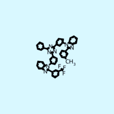 Cc1cccc(-c2nc3ccccc3n2-c2cccc(-c3nc(-c4ccccc4)nc(-c4cccc(-n5c(-c6cccc(C(F)(F)F)c6)nc6ccccc65)c4)n3)c2)c1